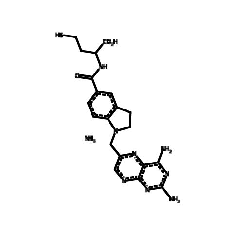 N.Nc1nc(N)c2nc(CN3CCc4cc(C(=O)NC(CCS)C(=O)O)ccc43)cnc2n1